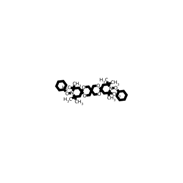 CC1(C)CC2(CC(C)(C)N1OC1CCCCC1)OCC1(CO2)COC2(CC(C)(C)N(OC3CCCCC3)C(C)(C)C2)OC1